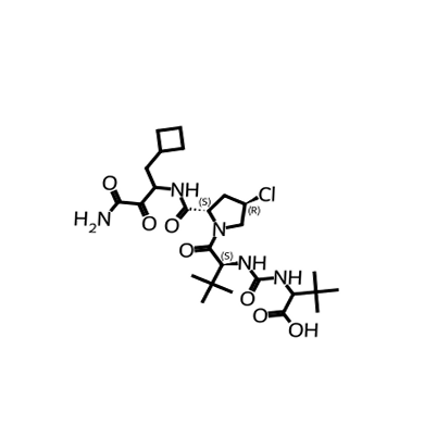 CC(C)(C)C(NC(=O)N[C@H](C(=O)N1C[C@H](Cl)C[C@H]1C(=O)NC(CC1CCC1)C(=O)C(N)=O)C(C)(C)C)C(=O)O